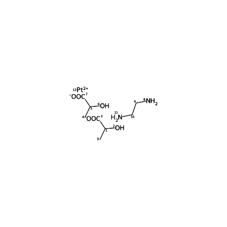 CC(O)C(=O)[O-].CC(O)C(=O)[O-].NCCN.[Pt+2]